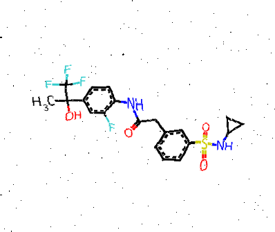 CC(O)(c1ccc(NC(=O)Cc2cccc(S(=O)(=O)NC3CC3)c2)c(F)c1)C(F)(F)F